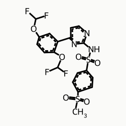 CS(=O)(=O)c1ccc(S(=O)(=O)Nc2nccc(-c3cc(OC(F)F)ccc3OC(F)F)n2)cc1